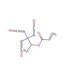 C=CC(=O)OC(C)C(N=C=O)(N=C=O)N=C=O